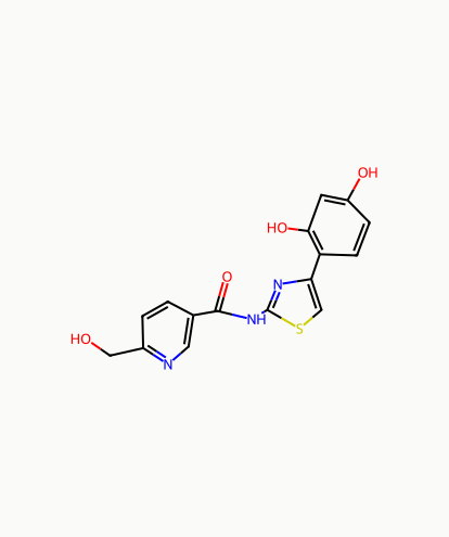 O=C(Nc1nc(-c2ccc(O)cc2O)cs1)c1ccc(CO)nc1